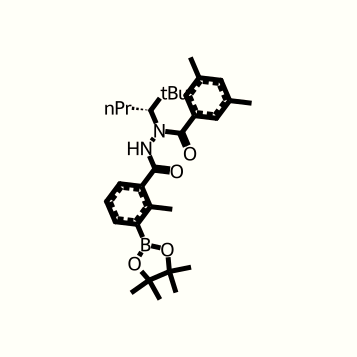 CCC[C@@H](N(NC(=O)c1cccc(B2OC(C)(C)C(C)(C)O2)c1C)C(=O)c1cc(C)cc(C)c1)C(C)(C)C